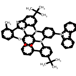 Cc1cccc(C)c1-c1nc2cc(C(C)(C)C)cc3c2n1-c1cccc2c1B3c1ccc(-n3c4ccccc4c4ccccc43)cc1N2c1ccc(C(C)(C)C)cc1-c1ccccc1